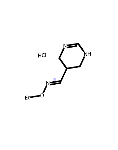 CCO/N=C/C1CN=CNC1.Cl